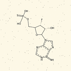 N=c1[nH]cnc2c1ncn2C1OC(COP(O)(O)=S)[C@H](F)[C@@H]1O